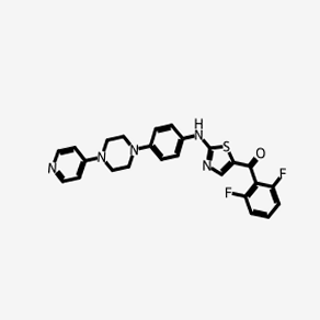 O=C(c1cnc(Nc2ccc(N3CCN(c4ccncc4)CC3)cc2)s1)c1c(F)cccc1F